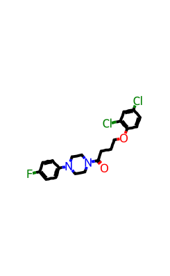 O=C(CCCOc1ccc(Cl)cc1Cl)N1CCN(c2ccc(F)cc2)CC1